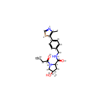 Cc1ncsc1-c1ccc(CNC(=O)C2C[C@@](C)(O)CN2C(=O)CC(C)(C)C)cc1